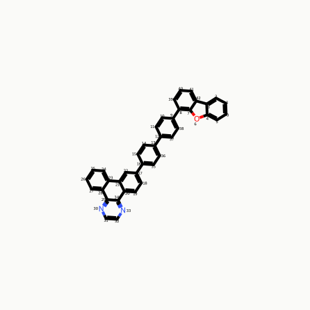 c1ccc2c(c1)oc1c(-c3ccc(-c4ccc(-c5ccc6c(c5)c5ccccc5c5nccnc65)cc4)cc3)cccc12